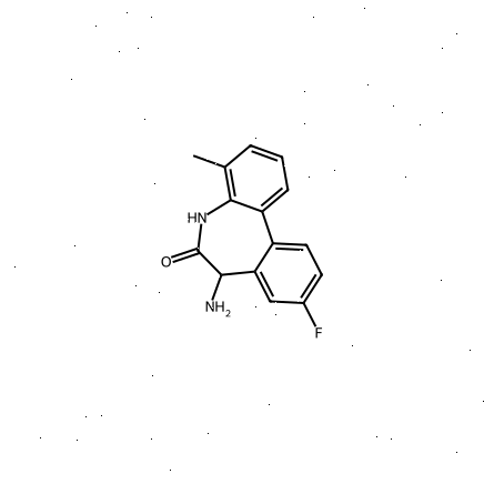 Cc1cccc2c1NC(=O)C(N)c1cc(F)ccc1-2